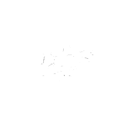 CCN(C(=O)OCC1c2ccccc2-c2ccccc21)C(Cc1ccc(C)cc1)C(=O)O